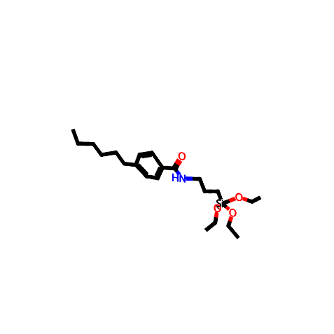 CCCCCCc1ccc(C(=O)NCCC[Si](OCC)(OCC)OCC)cc1